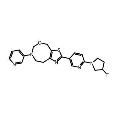 FC1CCN(c2ccc(-c3nc4c(s3)COCN(c3cccnc3)CC4)cn2)C1